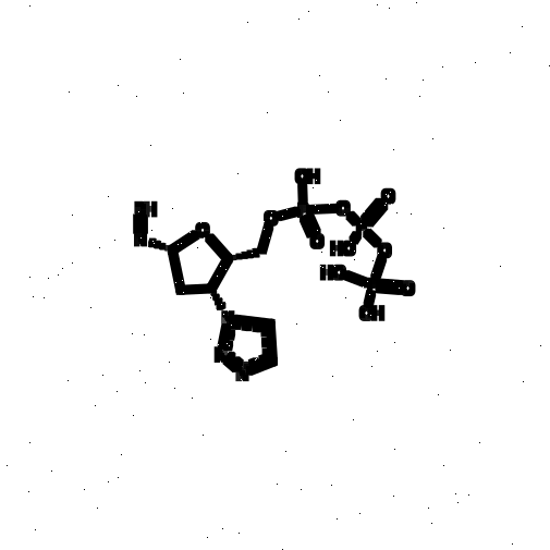 B=N[C@H]1C[C@@H](n2ccnn2)[C@@H](COP(=O)(O)OP(=O)(O)OP(=O)(O)O)O1